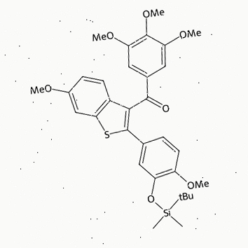 COc1ccc2c(C(=O)c3cc(OC)c(OC)c(OC)c3)c(-c3ccc(OC)c(O[Si](C)(C)C(C)(C)C)c3)sc2c1